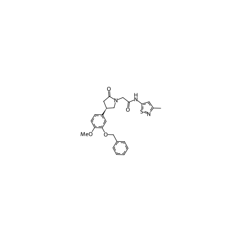 COc1ccc([C@H]2CC(=O)N(CC(=O)Nc3cc(C)ns3)C2)cc1OCc1ccccc1